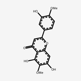 COc1ccc(-c2cc(=O)c3c(O)c(OC)c(O)cc3o2)cc1O